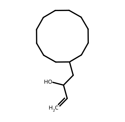 C=CC(O)CC1CCCCCCCCCCC1